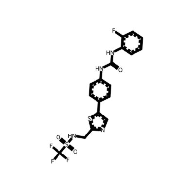 O=C(Nc1ccc(-c2cnc(CNS(=O)(=O)C(F)(F)F)s2)cc1)Nc1ccccc1F